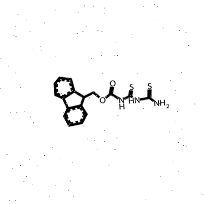 NC(=S)NC(=S)NC(=O)OCC1c2ccccc2-c2ccccc21